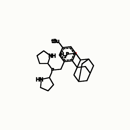 CC(C)(C)c1ccc(C23CC4CC(CC(C4)C2CP)C3)c(CP(C2CCCN2)C2CCCN2)c1